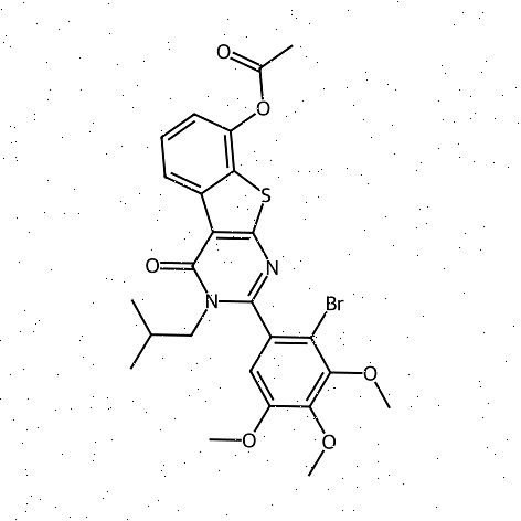 COc1cc(-c2nc3sc4c(OC(C)=O)cccc4c3c(=O)n2CC(C)C)c(Br)c(OC)c1OC